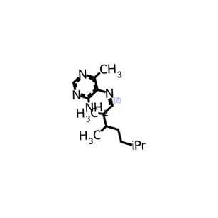 Cc1ncnc(N)c1/N=C\C(C)C(C)CCC(C)C